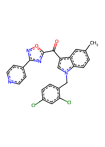 Cc1ccc2c(c1)c(C(=O)c1nc(-c3ccncc3)no1)cn2Cc1ccc(Cl)cc1Cl